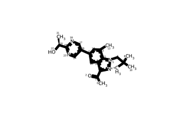 CC(=O)c1nn(CC(C)(C)C)c2c(C)cc(-c3cnc([C@H](C)O)nc3)cc12